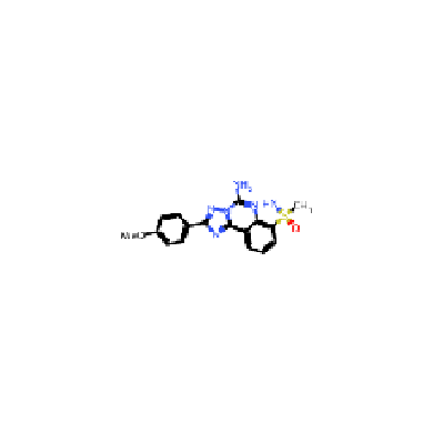 COc1ccc(-c2nc3c4cccc(S(C)(=N)=O)c4nc(N)n3n2)cc1